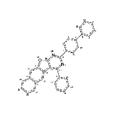 c1ccc(-c2ccc(-c3nc(-c4ccccc4)c4c(n3)oc3cc5ccccc5cc34)cc2)cc1